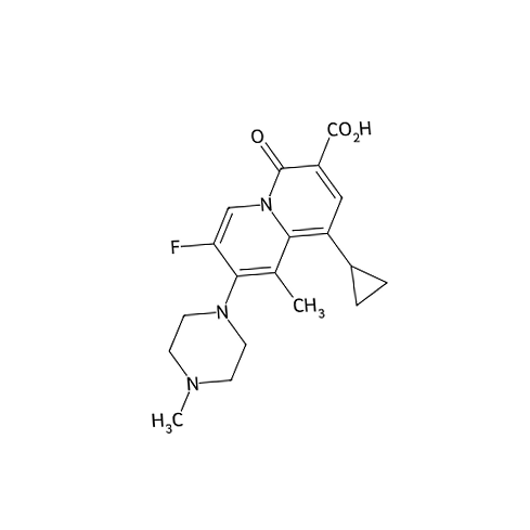 Cc1c(N2CCN(C)CC2)c(F)cn2c(=O)c(C(=O)O)cc(C3CC3)c12